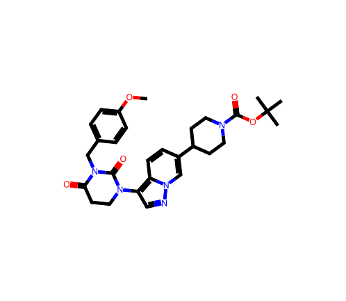 COc1ccc(CN2C(=O)CCN(c3cnn4cc(C5CCN(C(=O)OC(C)(C)C)CC5)ccc34)C2=O)cc1